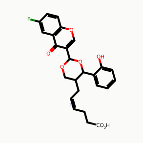 O=C(O)CC/C=C\CC1COC(c2coc3ccc(F)cc3c2=O)OC1c1ccccc1O